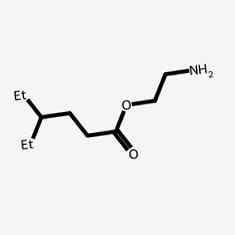 CCC(CC)CCC(=O)OCCN